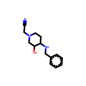 N#CCN1CCC(NCc2ccccc2)C(O)C1